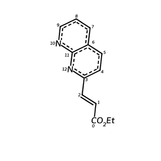 CCOC(=O)/C=C/c1ccc2cccnc2n1